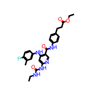 CCNC(=O)Nc1cc(Nc2ccc(F)c(C)c2)c(C(=O)Nc2ccc(CCC(=O)OCC)cc2)cn1